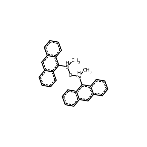 C[SiH](O[SiH](C)c1c2ccccc2cc2ccccc12)c1c2ccccc2cc2ccccc12